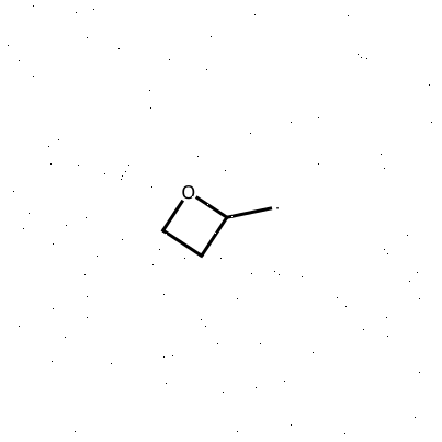 [CH2]C1CCO1